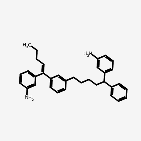 CCC/C=C(\c1cccc(N)c1)c1cccc(CCCCC(c2ccccc2)c2cccc(N)c2)c1